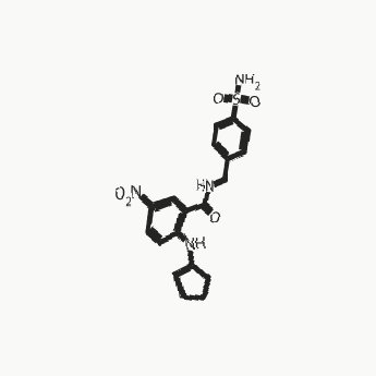 NS(=O)(=O)c1ccc(CNC(=O)c2cc([N+](=O)[O-])ccc2NC2CCCC2)cc1